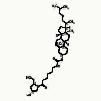 CC(C)CCC[C@@H](C)[C@@]1(I)CC[C@H]2C3CC=C4C[C@@H](OC(=O)NCCCCCC(=O)N5C[C@H](O)C[C@H]5CO)CC[C@]4(C)[C@H]3CC[C@@]21C